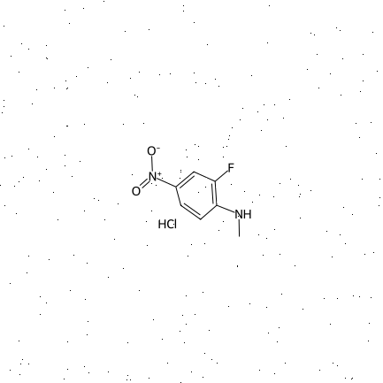 CNc1ccc([N+](=O)[O-])cc1F.Cl